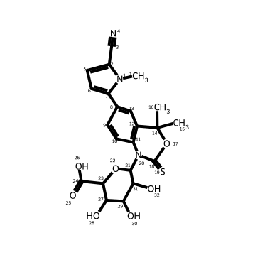 Cn1c(C#N)ccc1-c1ccc2c(c1)C(C)(C)OC(=S)N2C1OC(C(=O)O)C(O)C(O)C1O